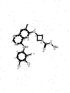 Cc1cc2ncnc(Nc3ccc(Cl)c(Cl)c3F)c2nc1OC1CN(C(=O)OC(C)(C)C)C1